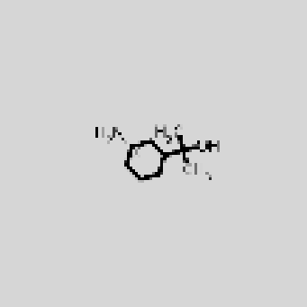 CC(C)(O)C1CCC[C@H](N)C1